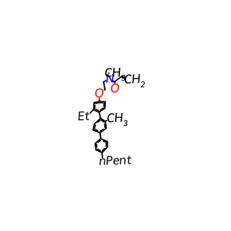 C=CC(=O)N(C)CCOc1ccc(-c2ccc(-c3ccc(CCCCC)cc3)cc2C)c(CC)c1